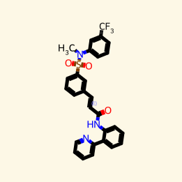 CN(c1cccc(C(F)(F)F)c1)S(=O)(=O)c1cccc(/C=C/C(=O)Nc2ccccc2-c2ccccn2)c1